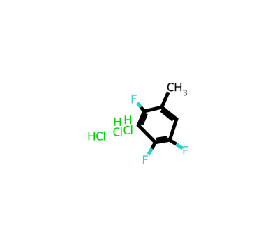 Cc1cc(F)c(F)cc1F.Cl.Cl.Cl